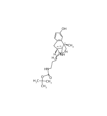 CN1CC[C@@]2(C)c3cc(O)ccc3C[C@@H]1[C@@H]2NCCCCNC(=O)OC(C)(C)C